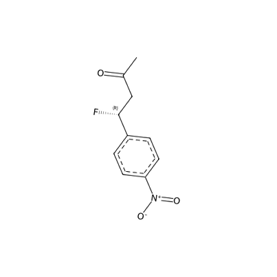 CC(=O)C[C@@H](F)c1ccc([N+](=O)[O-])cc1